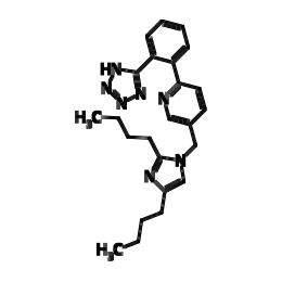 CCCCc1cn(Cc2ccc(-c3ccccc3-c3nnn[nH]3)nc2)c(CCCC)n1